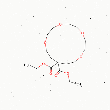 CCOC(=O)C1(C(=O)OCC)CCOCCOCCOCCOCC1